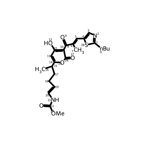 CCCCc1ncc(/C=C(\C)C(=O)c2c(O)cc(C(C)CC/C=C/NC(=O)OC)oc2=O)s1